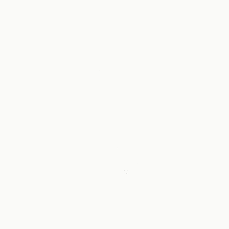 O=C(O)c1ccc2c(c1)CC(Cc1cncs1)C2